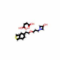 O=C(O)/C=C\C(=O)O.OC1CN(CCCOCCc2ccc3cscc3c2)C1